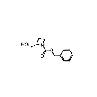 O=C(OCc1ccccc1)N1CCC1CO